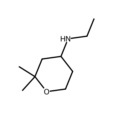 CCNC1CCOC(C)(C)C1